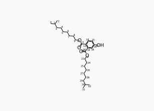 CC(C)CCCCCCCOC(=O)c1ccc(O)cc1C(=O)OCCCCCCCC(C)C